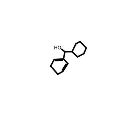 OC(C1=CCCC=C1)C1CCCCC1